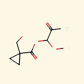 COC(=O)C(O[C]=O)OC(=O)C1(CO)CC1